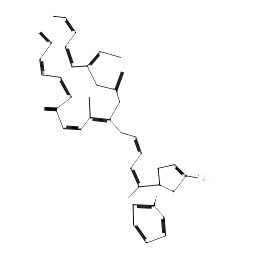 C=C/C=C\C=C/C(=C)/C=C\C(C)=C(/C/C=C\C=C(\C)[C@]1(c2ccccc2)CC=C(N)C1)CC(=C)CC(/C=C\C=C/C)=C\C